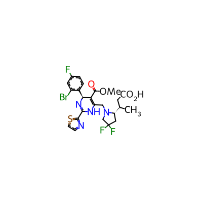 COC(=O)C1=C(CN2CC(F)(F)C[C@H]2C(C)CC(=O)O)NC(c2nccs2)=N[C@H]1c1ccc(F)cc1Br